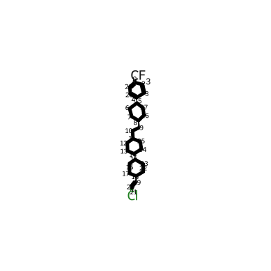 FC(F)(F)c1ccc([C@H]2CC[C@H](CCC3CCC([C@H]4CC[C@H](/C=C/Cl)CC4)CC3)CC2)cc1